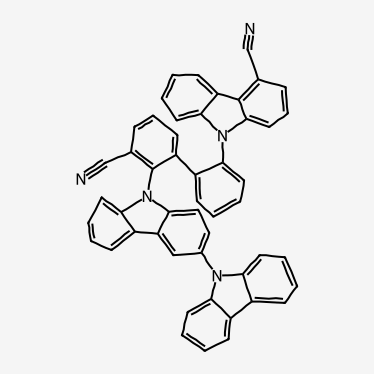 N#Cc1cccc(-c2ccccc2-n2c3ccccc3c3c(C#N)cccc32)c1-n1c2ccccc2c2cc(-n3c4ccccc4c4ccccc43)ccc21